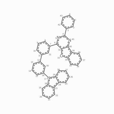 c1ccc(-c2nc(-c3cccc(-c4cccc(-n5c6ccccc6c6ccccc65)c4)c3)c3oc4ccccc4c3n2)cc1